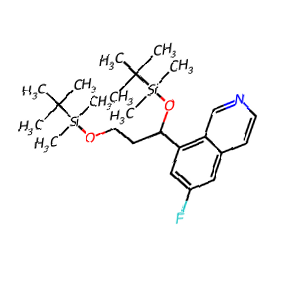 CC(C)(C)[Si](C)(C)OCCC(O[Si](C)(C)C(C)(C)C)c1cc(F)cc2ccncc12